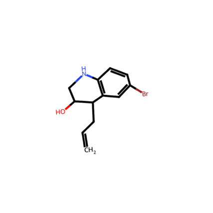 C=CCC1c2cc(Br)ccc2NCC1O